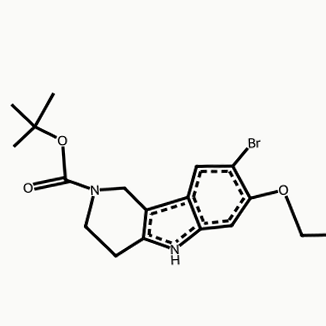 CCOc1cc2[nH]c3c(c2cc1Br)CN(C(=O)OC(C)(C)C)CC3